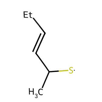 CCC=CC(C)[S]